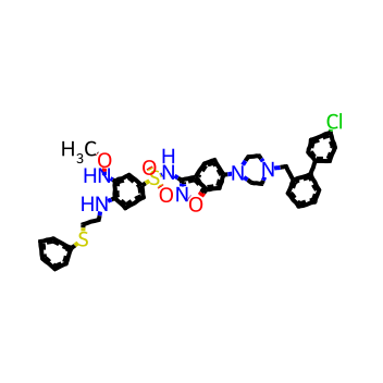 CONc1cc(S(=O)(=O)Nc2noc3cc(N4CCN(Cc5ccccc5-c5ccc(Cl)cc5)CC4)ccc23)ccc1NCCSc1ccccc1